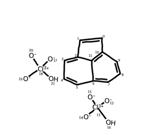 C1=Cc2cccc3cccc1c23.[O-][Cl+3]([O-])([O-])O.[O-][Cl+3]([O-])([O-])O